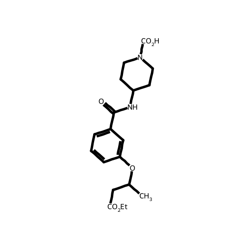 CCOC(=O)CC(C)Oc1cccc(C(=O)NC2CCN(C(=O)O)CC2)c1